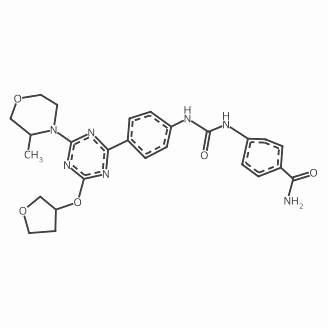 CC1COCCN1c1nc(OC2CCOC2)nc(-c2ccc(NC(=O)Nc3ccc(C(N)=O)cc3)cc2)n1